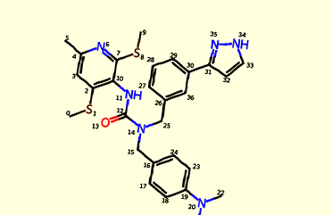 CSc1cc(C)nc(SC)c1NC(=O)N(Cc1ccc(N(C)C)cc1)Cc1cccc(-c2cc[nH]n2)c1